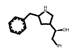 CC(C)C[C@H](O)C1CNC(Cc2ccccc2)C1